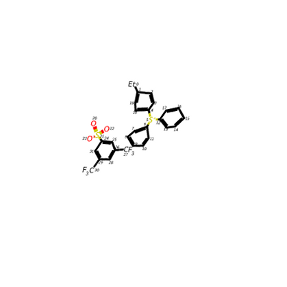 CCc1ccc([S+](c2ccccc2)c2ccccc2)cc1.O=S(=O)([O-])c1cc(C(F)(F)F)cc(C(F)(F)F)c1